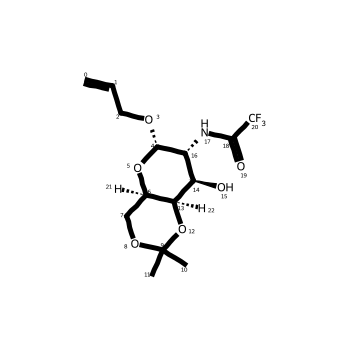 C=CCO[C@H]1O[C@@H]2COC(C)(C)O[C@@H]2[C@H](O)[C@H]1NC(=O)C(F)(F)F